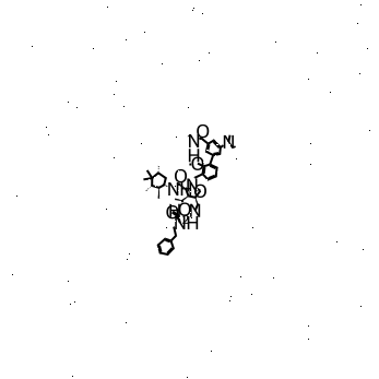 CNC(=O)c1cc(-c2cccc(CN3O[C@@H](CN)[C@@H]([C@H](C)OC(=O)NCCc4ccccc4)[C@H]3C(=O)N[C@H]3C[C@@H](C)C(C)(C)[C@@H](C)[C@@H]3C)c2OC)cc(N(C)C)c1